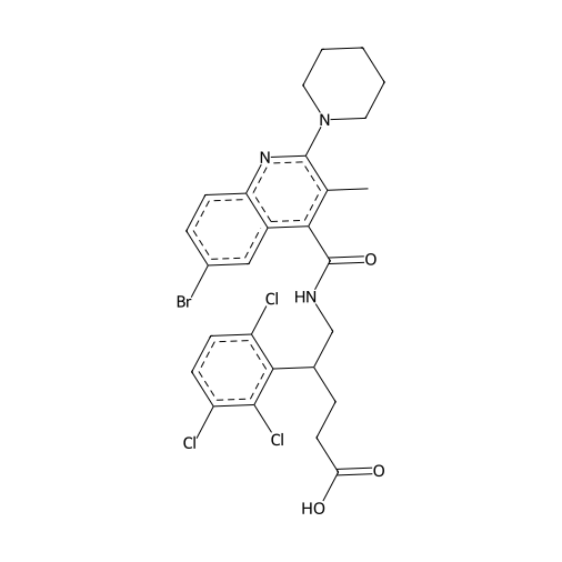 Cc1c(N2CCCCC2)nc2ccc(Br)cc2c1C(=O)NCC(CCC(=O)O)c1c(Cl)ccc(Cl)c1Cl